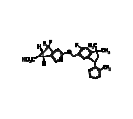 CC1(C)CC(c2ccccc2C(F)(F)F)c2cc(COc3cc4c(cn3)[C@@H]3[C@@H](C(=O)O)[C@@H]3C4(F)F)c(F)cc21